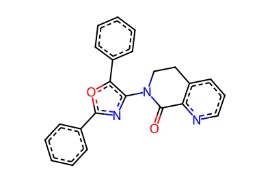 O=C1c2ncccc2CCN1c1nc(-c2ccccc2)oc1-c1ccccc1